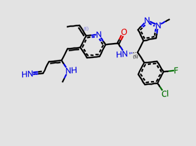 C/C=c1/nc(C(=O)N[C@@H](c2ccc(Cl)c(F)c2)c2cnn(C)c2)ccc1=CC(=CC=N)NC